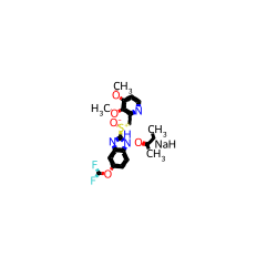 CCC(C)=O.COc1ccnc(C[S+]([O-])c2nc3cc(OC(F)F)ccc3[nH]2)c1OC.[NaH]